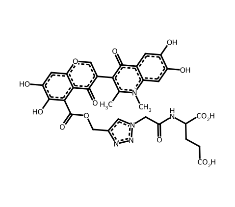 Cc1c(-c2coc3cc(O)c(O)c(C(=O)OCc4cn(CC(=O)NC(CCC(=O)O)C(=O)O)nn4)c3c2=O)c(=O)c2cc(O)c(O)cc2n1C